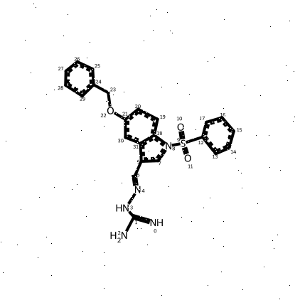 N=C(N)NN=Cc1cn(S(=O)(=O)c2ccccc2)c2ccc(OCc3ccccc3)cc12